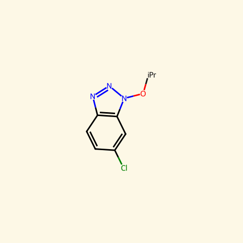 CC(C)On1nnc2ccc(Cl)cc21